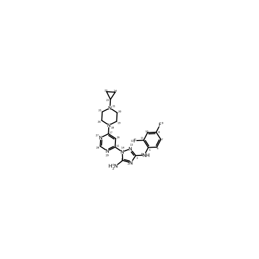 Nc1nc(Nc2ccc(F)cc2F)nn1-c1cc(N2CCN(C3CC3)CC2)ncn1